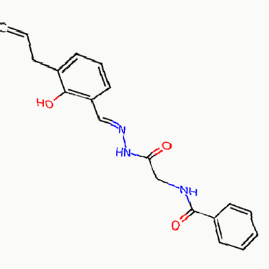 C=CCc1cccc(/C=N/NC(=O)CNC(=O)c2ccccc2)c1O